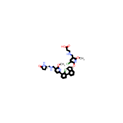 COc1nc(-c2cccc(-c3cccc4c3CC[C@@H]4Oc3nc(OC)c(CNCCC(=O)O)cc3Cl)c2Cl)ccc1CNC[C@@H]1CCC(=O)N1